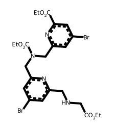 CCOC(=O)CNCc1cc(Br)cc(CN(Cc2cc(Br)cc(C(=O)OCC)n2)C(=O)OCC)n1